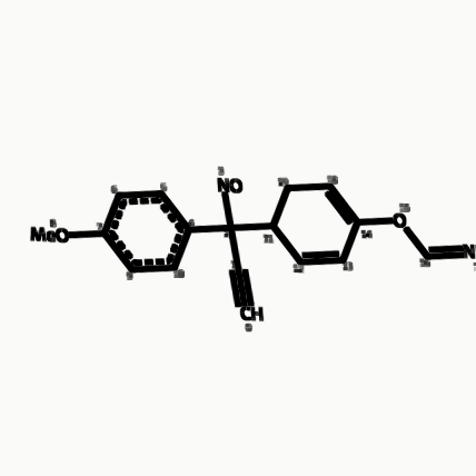 C#CC(N=O)(c1ccc(OC)cc1)C1C=CC(OC=N)=CC1